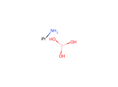 CC(C)N.OB(O)O